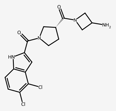 NC1CN(C(=O)[C@@H]2CCN(C(=O)c3cc4c(Cl)c(Cl)ccc4[nH]3)C2)C1